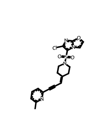 Cc1cccc(C#CC=C2CCN(S(=O)(=O)c3c(Cl)nc4occn34)CC2)n1